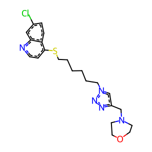 Clc1ccc2c(SCCCCCCn3cc(CN4CCOCC4)nn3)ccnc2c1